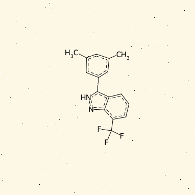 Cc1cc(C)cc(-c2[nH]nc3c(C(F)(F)F)cccc23)c1